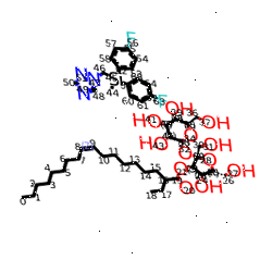 CCCCCCCC/C=C\CCCCCCC(CC)C(=O)O[C@H]1[C@H](O)[C@@H](CO)O[C@@]1(CO)O[C@H]1O[C@H](CO)[C@@H](O)[C@H](O)[C@H]1O.C[Si](Cn1cncn1)(c1ccc(F)cc1)c1ccc(F)cc1